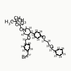 CC(C)(C)OC(=O)ON1CCC(c2ccc(OCCCOCc3ccccc3)cc2)C(OCc2ccc(CBr)cc2)C1